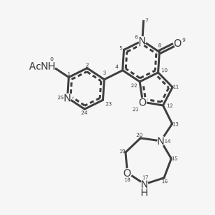 CC(=O)Nc1cc(-c2cn(C)c(=O)c3cc(CN4CCNOCC4)oc23)ccn1